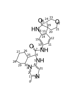 Cc1cnc(NC(C(=O)Nc2ccc3c(c2)NC(=O)C32CCOCC2)C2CCCCC2)cn1